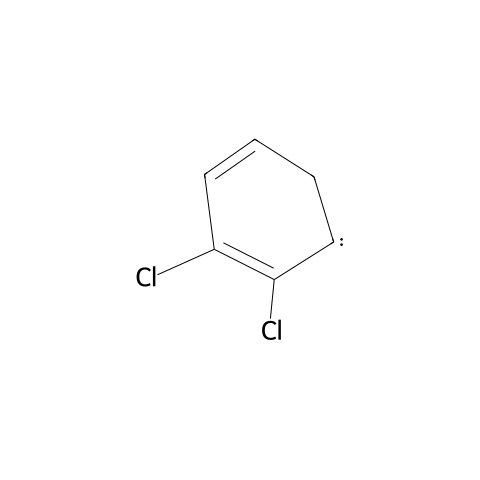 ClC1=C(Cl)C=CC[C]1